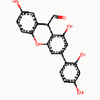 O=CC1c2cc(O)ccc2Oc2cc(-c3ccc(O)cc3O)cc(O)c21